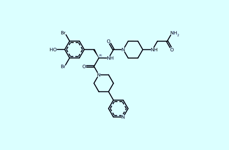 NC(=O)CNC1CCN(C(=O)N[C@H](Cc2cc(Br)c(O)c(Br)c2)C(=O)N2CCC(c3ccncc3)CC2)CC1